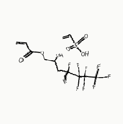 C=CC(=O)OCC(O)CC(F)(F)C(F)(F)C(F)(F)C(F)(F)F.C=CS(=O)(=O)O